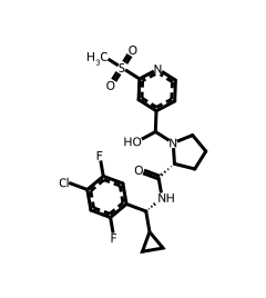 CS(=O)(=O)c1cc(C(O)N2CCC[C@@H]2C(=O)N[C@@H](c2cc(F)c(Cl)cc2F)C2CC2)ccn1